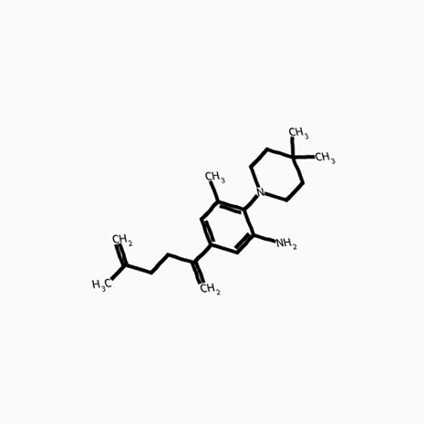 C=C(C)CCC(=C)c1cc(C)c(N2CCC(C)(C)CC2)c(N)c1